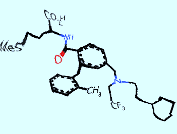 CSCCC(NC(=O)c1ccc(CN(CCC2CCCCC2)CC(F)(F)F)cc1-c1ccccc1C)C(=O)O